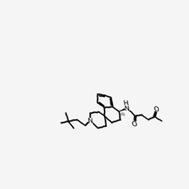 CC(=O)CCC(=O)N[C@H]1CCC2(CCN(CCC(C)(C)C)CC2)c2ccccc21